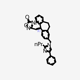 CCCc1nc(-c2ccccc2)cn1Cc1ccc2c(c1)CCc1ccccc1/C2=C\c1noc(=O)[nH]1